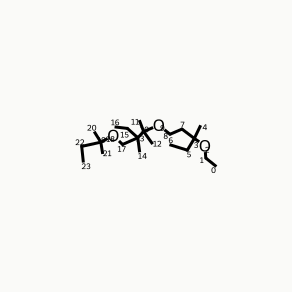 CCOC(C)(CC)CCOC(C)(C)C(C)(CC)COC(C)(C)CC